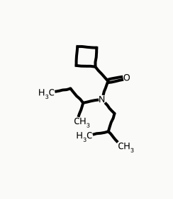 CCC(C)N(CC(C)C)C(=O)C1CCC1